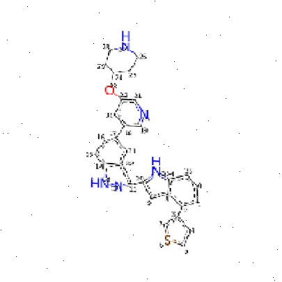 c1cc(-c2ccsc2)c2cc(-c3n[nH]c4ccc(-c5cncc(OC6CCNCC6)c5)cc34)[nH]c2c1